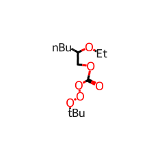 CCCCC(COC(=O)OOOC(C)(C)C)OCC